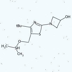 C[SiH](C)OCc1sc(N2CC(O)C2)nc1C(C)(C)C